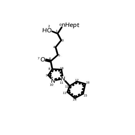 CCCCCCCC(O)CCCC(=O)c1cnn(-c2ccccc2)c1